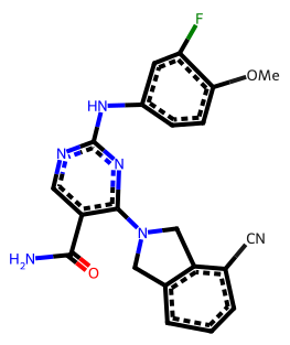 COc1ccc(Nc2ncc(C(N)=O)c(N3Cc4cccc(C#N)c4C3)n2)cc1F